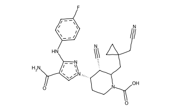 N#CCC1(CC2[C@@H](C#N)[C@@H](n3cc(C(N)=O)c(Nc4ccc(F)cc4)n3)CCN2C(=O)O)CC1